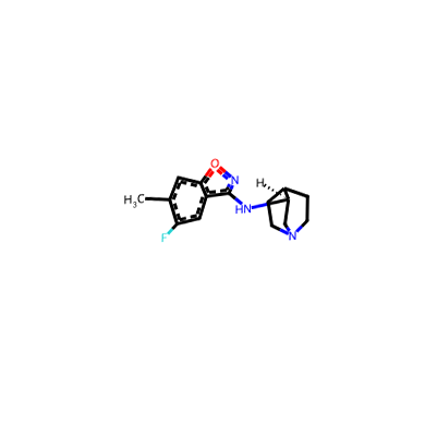 Cc1cc2onc(N[C@@H]3CN4CCC3CC4)c2cc1F